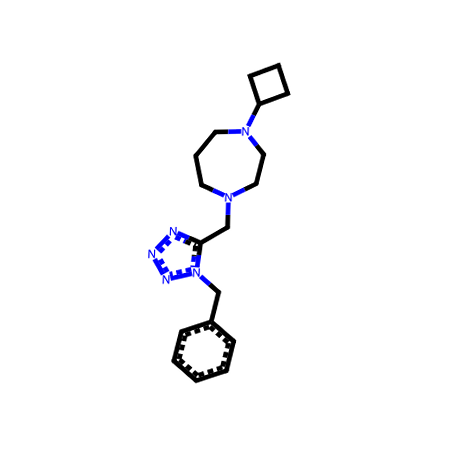 c1ccc(Cn2nnnc2CN2CCCN(C3CCC3)CC2)cc1